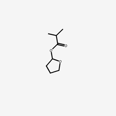 CC(C)C(=O)OC1CCCO1